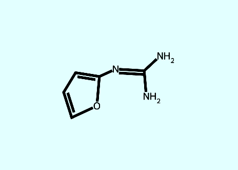 NC(N)=Nc1ccco1